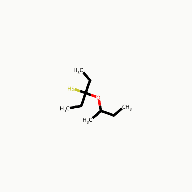 CCC(C)OC(S)(CC)CC